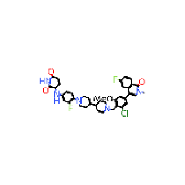 COc1cc(-c2cn(C)c(=O)c3ccc(F)cc23)cc(Cl)c1CN1CCC(C2CCN(c3ccc(NC4CCC(=O)NC4=O)cc3F)CC2)CC1